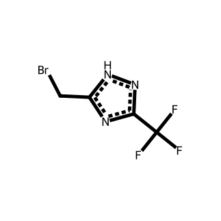 FC(F)(F)c1n[nH]c(CBr)n1